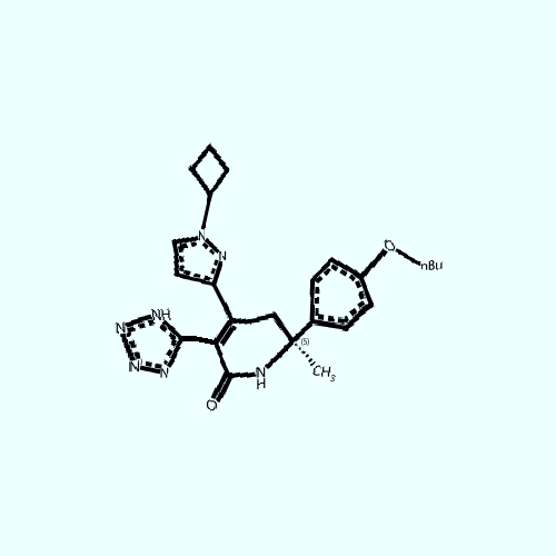 CCCCOc1ccc([C@]2(C)CC(c3ccn(C4CCC4)n3)=C(c3nnn[nH]3)C(=O)N2)cc1